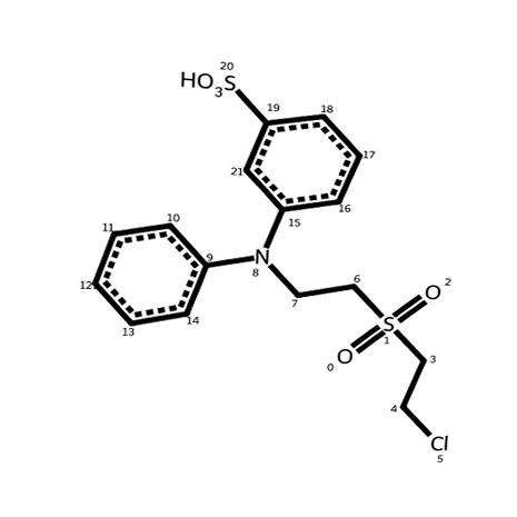 O=S(=O)(CCCl)CCN(c1cc[c]cc1)c1cccc(S(=O)(=O)O)c1